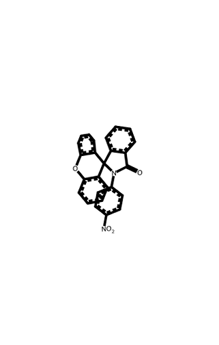 O=C1c2ccccc2C2(c3ccccc3Oc3ccccc32)N1c1ccc([N+](=O)[O-])cc1